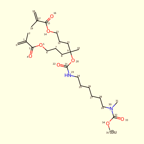 C=C(C)C(=O)OCCCC(C)(CCCOC(=O)C(=C)C)OC(=O)NCCCCCCN(C)C(=O)OC(C)(C)C